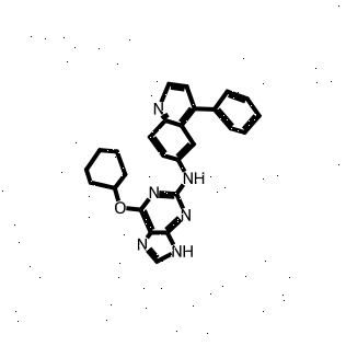 c1ccc(-c2ccnc3ccc(Nc4nc(OC5CCCCC5)c5nc[nH]c5n4)cc23)cc1